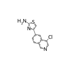 Nc1nc(-c2ccc3cncc(Cl)c3c2)cs1